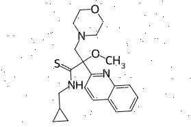 COC(CN1CCOCC1)(C(=S)NCC1CC1)c1ccc2ccccc2n1